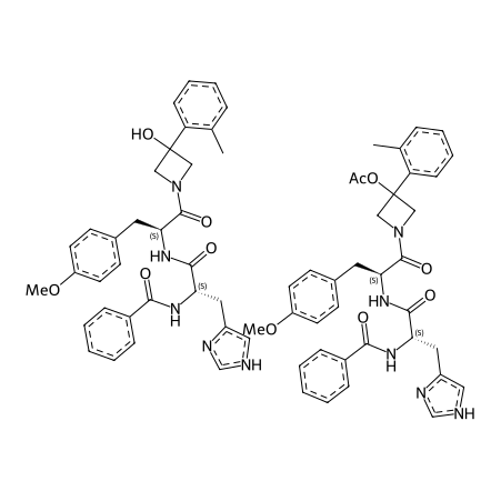 COc1ccc(C[C@H](NC(=O)[C@H](Cc2c[nH]cn2)NC(=O)c2ccccc2)C(=O)N2CC(O)(c3ccccc3C)C2)cc1.COc1ccc(C[C@H](NC(=O)[C@H](Cc2c[nH]cn2)NC(=O)c2ccccc2)C(=O)N2CC(OC(C)=O)(c3ccccc3C)C2)cc1